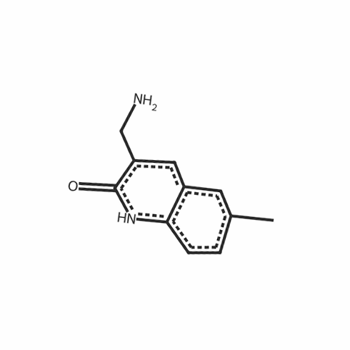 Cc1ccc2[nH]c(=O)c(CN)cc2c1